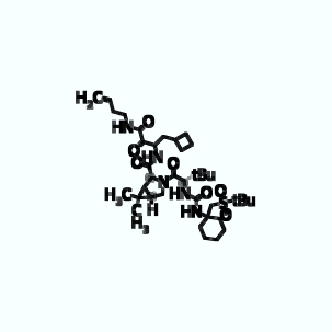 C=CCCNC(=O)C(=O)C(CC1CCC1)NC(=O)[C@@H]1C2[C@H](CN1C(=O)[C@@H](NC(=O)NC1(CS(=O)(=O)C(C)(C)C)CCCCC1)C(C)(C)C)C2(C)C